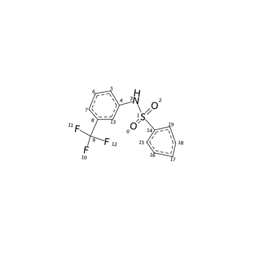 O=S(=O)(Nc1cccc(C(F)(F)F)c1)c1ccccc1